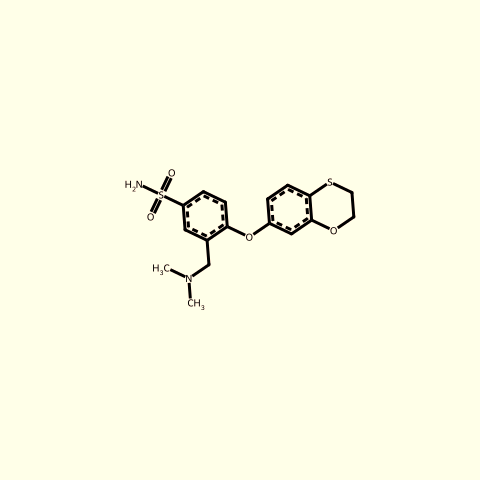 CN(C)Cc1cc(S(N)(=O)=O)ccc1Oc1ccc2c(c1)OCCS2